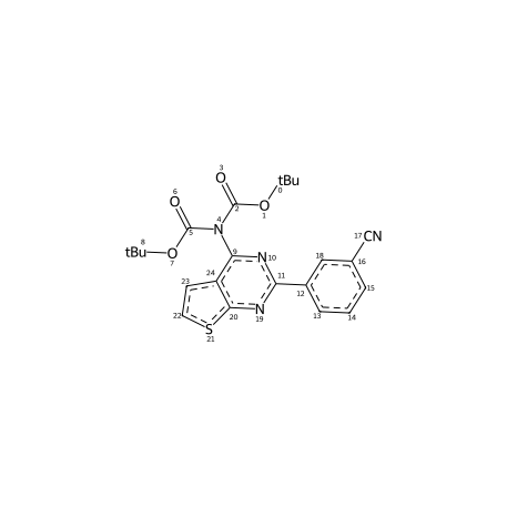 CC(C)(C)OC(=O)N(C(=O)OC(C)(C)C)c1nc(-c2cccc(C#N)c2)nc2sccc12